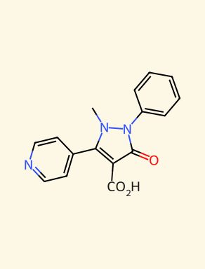 Cn1c(-c2ccncc2)c(C(=O)O)c(=O)n1-c1ccccc1